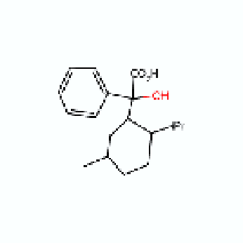 CC1CCC(C(C)C)C(C(O)(C(=O)O)c2ccccc2)C1